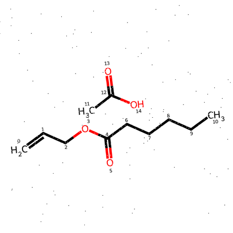 C=CCOC(=O)CCCCC.CC(=O)O